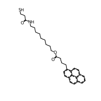 O=C(CCS)NCCCCCCCCCOC(=O)CCCc1ccc2ccc3cccc4ccc1c2c34